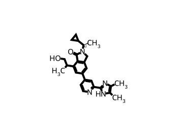 Cc1nc(-c2cc(-c3cc4c(c(C(C)CO)c3)C(=O)N([C@@H](C)C3CC3)C4)ccn2)[nH]c1C